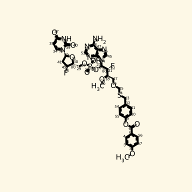 COc1ccc(C(=O)Oc2ccc(CSCOC[C@@H](OC)[C@@H](F)[C@@H](OP(=O)(O)OC[C@H]3O[C@@H](n4ccc(=O)[nH]c4=O)C[C@@H]3F)n3cnc4c(N)ncnc43)cc2)cc1